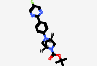 CC(C)(C)OC(=O)N1C[C@@H]2C[C@H]1CN2c1ccc(-c2ncc(F)cn2)cc1